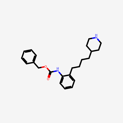 O=C(Nc1ccccc1CCCCC1CCNCC1)OCc1ccccc1